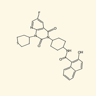 O=C(NC1CCC(n2c(=O)c3cc(F)cnc3n(C3CCSCC3)c2=O)CC1)c1c(O)ccc2ccccc12